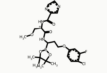 COC[C@@H](NC(=O)c1cnccn1)C(=O)NC(CCOc1ccc(Cl)c(F)c1)B1OC(C)(C)C(C)(C)O1